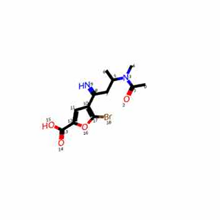 CC(=O)N(C)C(C)CC(=N)c1cc(C(=O)O)oc1Br